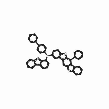 c1ccc(-c2ccc(N(c3ccc4oc5c(-c6ccccc6)c6c(cc5c4c3)oc3ccccc36)c3cccc4c3oc3ccccc34)cc2)cc1